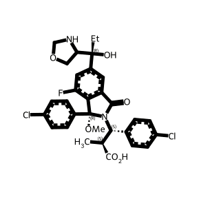 CC[C@@](O)(c1cc(F)c2c(c1)C(=O)N([C@H](c1ccc(Cl)cc1)[C@H](C)C(=O)O)[C@@]2(OC)c1ccc(Cl)cc1)C1COCN1